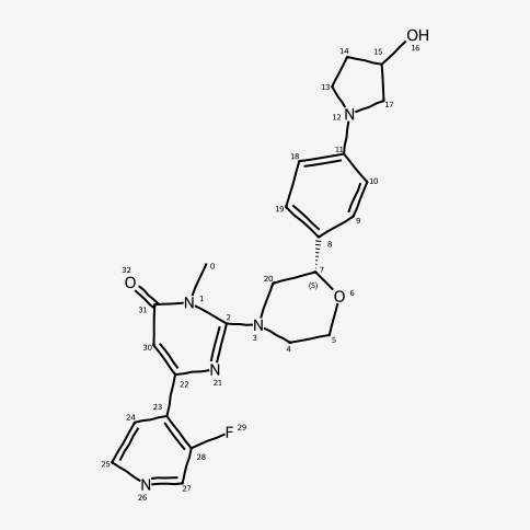 Cn1c(N2CCO[C@@H](c3ccc(N4CCC(O)C4)cc3)C2)nc(-c2ccncc2F)cc1=O